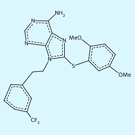 COc1ccc(OC)c(Sc2nc3c(N)ncnc3n2CCc2cccc(C(F)(F)F)c2)c1